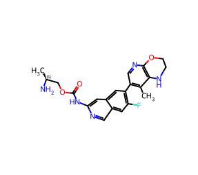 Cc1c(-c2cc3cc(NC(=O)OC[C@H](C)N)ncc3cc2F)cnc2c1NCCO2